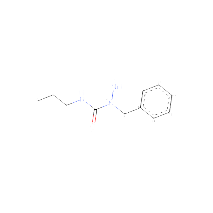 CCCNC(=O)N(N)Cc1ccccc1